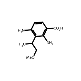 COCC(C)c1c(N)ccc(C(=O)O)c1N